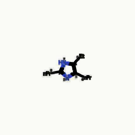 CCCc1nc(CCC)c(CC)[nH]1